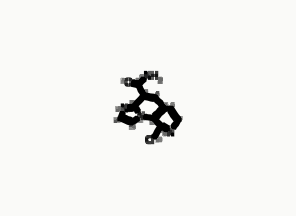 NC(=O)c1cc2ccnc(Cl)c2n2ccnc12